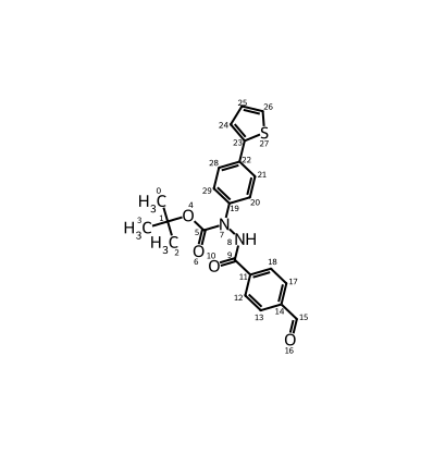 CC(C)(C)OC(=O)N(NC(=O)c1ccc(C=O)cc1)c1ccc(-c2cccs2)cc1